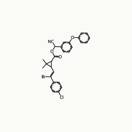 CC1(C)C(C=C(Br)c2ccc(Cl)cc2)C1C(=O)OC(C#N)c1cccc(Oc2ccccc2)c1